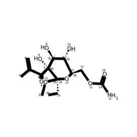 C=C(C)C(=O)[C@@]1(O)[C@@H](O)[C@H](O)[C@@H](COC(N)=O)O[C@@]1(CC)OC